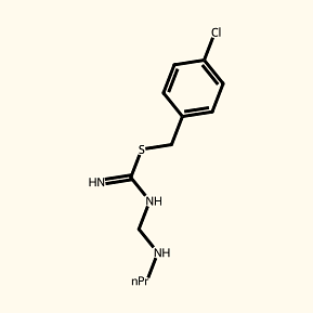 CCCNCNC(=N)SCc1ccc(Cl)cc1